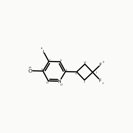 FC1(F)CC(c2cc(I)c(Cl)cn2)C1